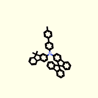 Cc1ccc(-c2ccc(N(c3ccc4c(c3)C3(c5ccccc5-c5ccccc53)c3ccccc3-4)c3ccc4c(c3)C(C)(C)C3C=CC=CC43)cc2)cc1